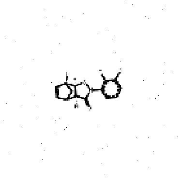 O=C1[C@H]2C3C=C[C@@H](C3)[C@H]2SN1c1cccc(Cl)c1F